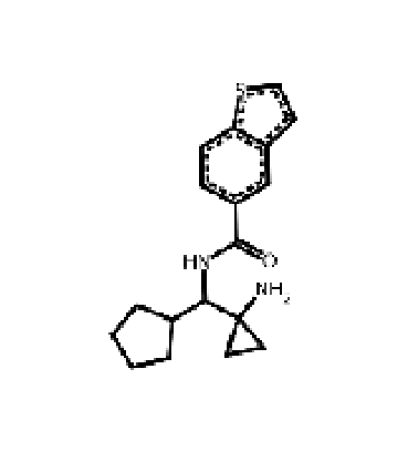 NC1(C(NC(=O)c2ccc3sccc3c2)C2CCCC2)CC1